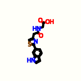 O=C(O)CNC(=O)Cc1csc(-c2ccc3cc[nH]c3c2)n1